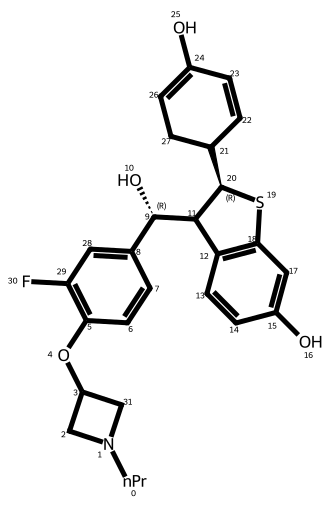 CCCN1CC(Oc2ccc([C@H](O)C3c4ccc(O)cc4S[C@@H]3C3C=CC(O)=CC3)cc2F)C1